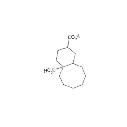 O=C(O)C1CCC2(C(=O)O)CCCCCCC2C1